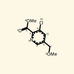 COCc1cnc(C(=O)OC)c(Cl)c1